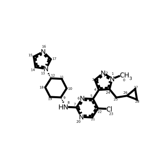 Cn1ncc(-c2nc(N[C@H]3CC[C@@H](n4ccnc4)CC3)ncc2Cl)c1CC1CC1